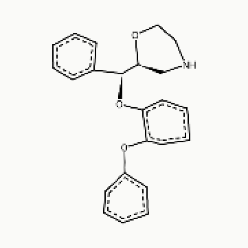 c1ccc(Oc2ccccc2O[C@@H](c2ccccc2)[C@@H]2CNCCO2)cc1